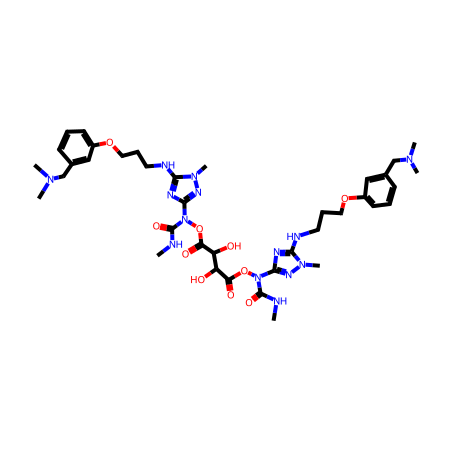 CNC(=O)N(OC(=O)C(O)C(O)C(=O)ON(C(=O)NC)c1nc(NCCCOc2cccc(CN(C)C)c2)n(C)n1)c1nc(NCCCOc2cccc(CN(C)C)c2)n(C)n1